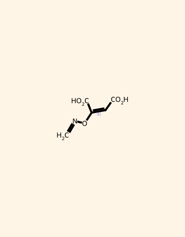 C=NO/C(=C/C(=O)O)C(=O)O